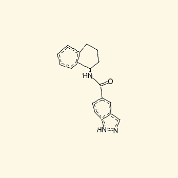 O=C(N[C@@H]1CCCc2ccccc21)c1ccc2[nH]ncc2c1